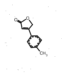 Cc1ccc(C2=CC(=O)OC2)cc1